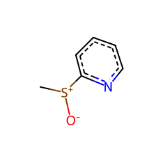 C[S+]([O-])c1ccccn1